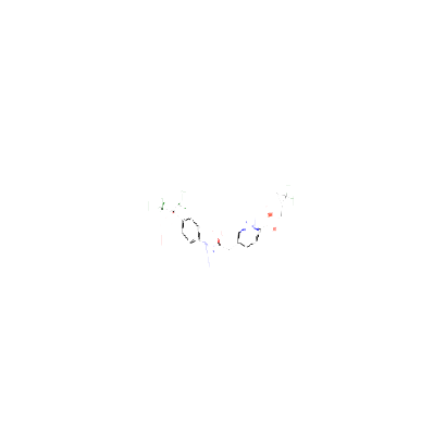 O=C(Cc1ccc(S(=O)(=O)CC2CC2(F)F)nc1)Nc1ccc(C(O)(C(F)(F)F)C(F)(F)F)cc1